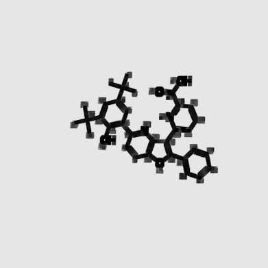 CC(C)(C)c1cc(-c2ccc3oc(-c4ccccc4)c(-c4cccc(C(=O)O)n4)c3n2)c(O)c(C(C)(C)C)c1